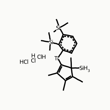 CC1=C(C)C(C)([SiH3])[C]([Ti][c]2cccc([Si](C)(C)C)c2[Si](C)(C)C)=C1C.Cl.Cl.Cl